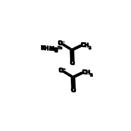 CC(=O)[O-].CC(=O)[O-].[KH].[Mg+2]